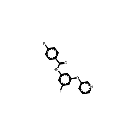 O=C(Nc1cc(I)cc(Oc2cccnc2)c1)c1ccc(F)cc1